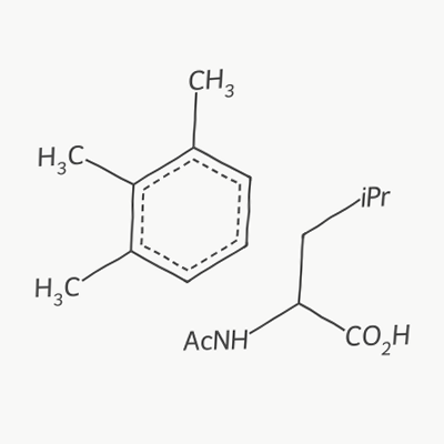 CC(=O)NC(CC(C)C)C(=O)O.Cc1cccc(C)c1C